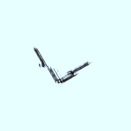 Br.Br.Br.Br.Br.Br.Br.[Br-].[Br-].[Br-].[Br-].[Br-].[Br-].[Br-].[Br-].[Br-].[Br-].[Br-].[Br-].[Br-].[Br-].[Br-].[Br-].[Br-].[Br-].[Br-].[Br-].[Br-].[Br-].[Br-].[Br-].[Br-].[Na+].[Na+].[Na+].[Na+].[Na+].[Na+].[Na+].[Na+].[Na+].[Na+].[Na+].[Na+].[Na+].[Na+].[Na+].[Na+].[Na+].[Na+].[Na+].[Na+].[Na+].[Na+].[Na+].[Na+].[Na+]